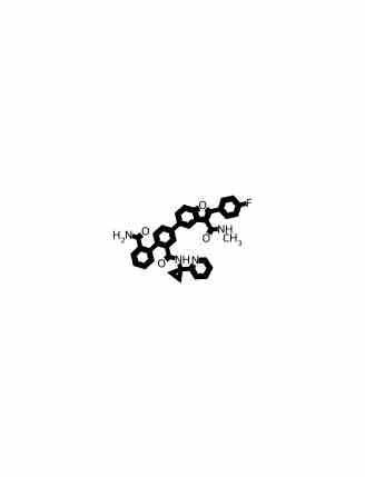 CNC(=O)c1c(-c2ccc(F)cc2)oc2ccc(-c3ccc(-c4ccccc4C(N)=O)c(C(=O)NC4(c5ccccn5)CC4)c3)cc12